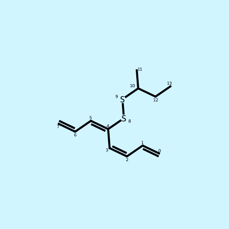 C=C/C=C\C(=C/C=C)SSC(C)CC